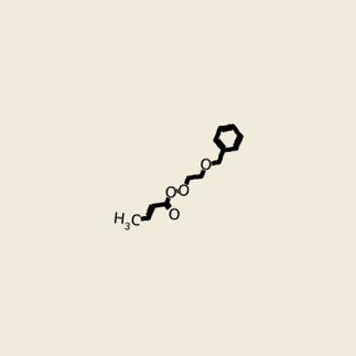 CC=CC(=O)OOCCOCc1ccccc1